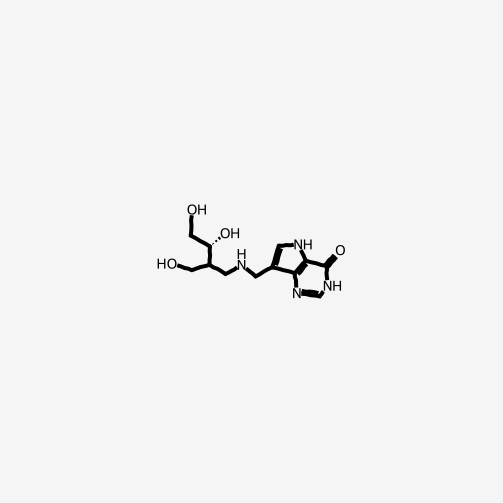 O=c1[nH]cnc2c(CNCC(CO)[C@@H](O)CO)c[nH]c12